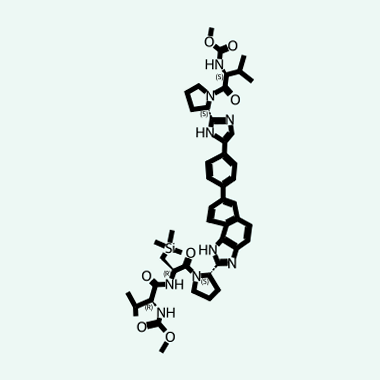 COC(=O)N[C@H](C(=O)N1CCC[C@H]1c1ncc(-c2ccc(-c3ccc4c(ccc5nc([C@@H]6CCCN6C(=O)[C@H](C[Si](C)(C)C)NC(=O)[C@H](NC(=O)OC)C(C)C)[nH]c54)c3)cc2)[nH]1)C(C)C